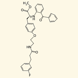 COC(=O)[C@H](Cc1ccc(OCCNC(=O)CCc2cccc(F)c2)cc1)Nc1ccccc1C(=O)c1ccccc1